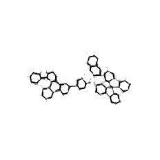 c1ccc2c(c1)-c1ccccc1C21c2ccccc2-c2ccc(N(c3ccc(-c4ccc5c6ccccc6c6c(ccc7oc8ccccc8c76)c5c4)cc3)c3ccc4ccccc4c3)cc21